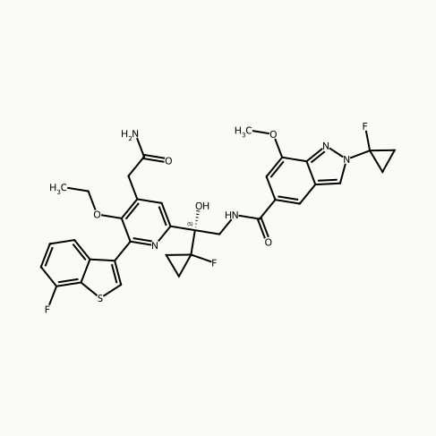 CCOc1c(CC(N)=O)cc([C@@](O)(CNC(=O)c2cc(OC)c3nn(C4(F)CC4)cc3c2)C2(F)CC2)nc1-c1csc2c(F)cccc12